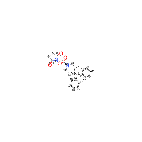 O=C(ON1C(=O)CCC1=O)N1CCC(C(c2ccccc2)c2ccccc2)CC1